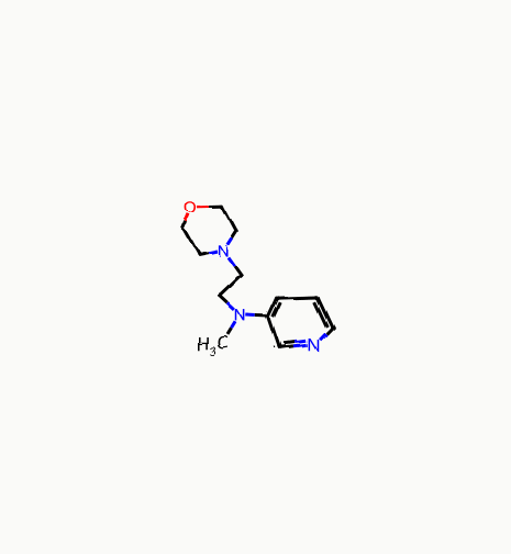 CN(CCN1CCOCC1)c1[c]nccc1